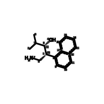 CC(C)[C@H](O)[C@@H](CN)c1cccc2ccccc12